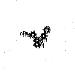 CCCNc1cccc(-c2cc3cc[nH]c(=O)c3c(Nc3ccc(N4CCOCC4)cc3)n2)n1